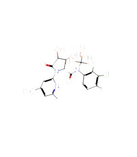 Cc1cc(C(F)(F)F)cc(N2C(=O)C(O)C(O)[C@H]2C(=O)N(c2ccc(F)c(Cl)c2F)C(S)(S)S)n1